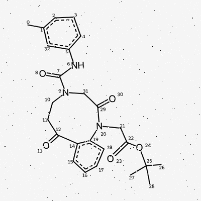 Cc1cccc(NC(=O)N2CCC(=O)c3ccccc3N(CC(=O)OC(C)(C)C)C(=O)C2)c1